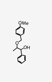 COc1ccc(COC(C)C(O)c2ccccc2)cc1